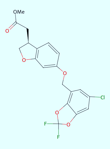 COC(=O)C[C@@H]1COc2cc(OCc3cc(Cl)cc4c3OC(F)(F)O4)ccc21